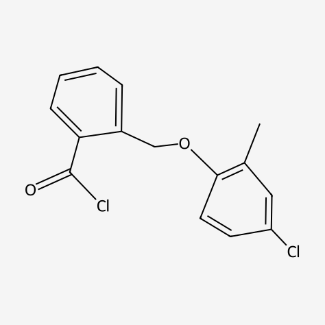 Cc1cc(Cl)ccc1OCc1ccccc1C(=O)Cl